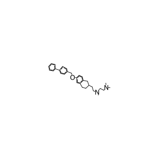 CN(C)CCN(C)CCC1CCc2cc(OCc3ccc(-c4ccccc4)cc3)ccc2C1